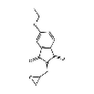 CCOc1ccc2c(c1)C(=O)N(CC1CO1)C2=O